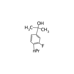 CCCc1ccc(C(C)(C)O)cc1F